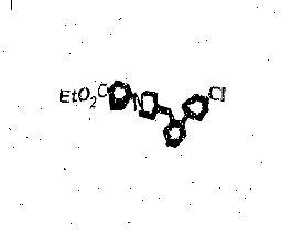 CCOC(=O)c1ccc(N2CCC(=Cc3ccccc3-c3ccc(Cl)cc3)CC2)cc1